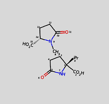 CC(C)[C@]1(C(=O)O)CCC(=O)N1.CN1C(=O)CC[C@H]1C(=O)O